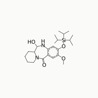 COc1cc2c(cc1O[Si](C(C)C)(C(C)C)C(C)C)NC(O)C1CCCCN1C2=O